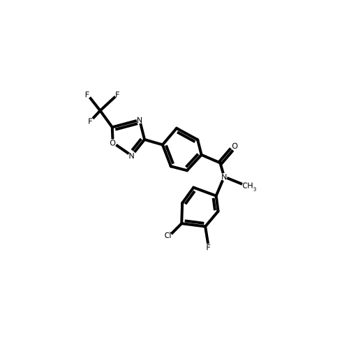 CN(C(=O)c1ccc(-c2noc(C(F)(F)F)n2)cc1)c1ccc(Cl)c(F)c1